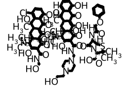 CC1(C)S[C@@H]2[C@H](NC(=O)COc3ccccc3)C(=O)N2[C@H]1C(=O)O.CN(C)[C@@H]1C(O)=C(C(=O)NCN2CCN(CCO)CC2)C(=O)[C@@]2(O)C(O)=C3C(=O)c4c(O)cccc4[C@@](C)(O)C3C[C@@H]12.CN(C)[C@@H]1C(O)=C(C(=O)NCO)C(=O)[C@@]2(O)C(O)=C3C(=O)c4c(O)ccc(Cl)c4[C@@](C)(O)C3C[C@@H]12